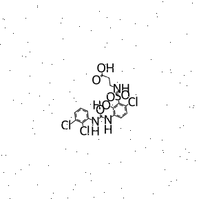 O=C(O)CCNS(=O)(=O)c1c(Cl)ccc(NC(=O)Nc2cccc(Cl)c2Cl)c1O